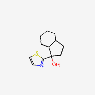 OC1(c2nccs2)CCC2CCCCC21